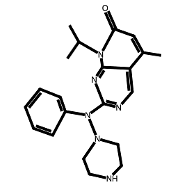 Cc1cc(=O)n(C(C)C)c2nc(N(c3ccccc3)N3CCNCC3)ncc12